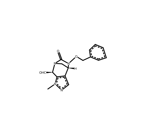 Cn1ncc2c1[C@@H](C=O)N1C[C@@H]2N(OCc2ccccc2)C1=O